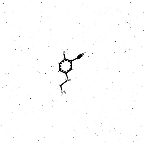 CCNc1ccc(C)c(C#N)c1